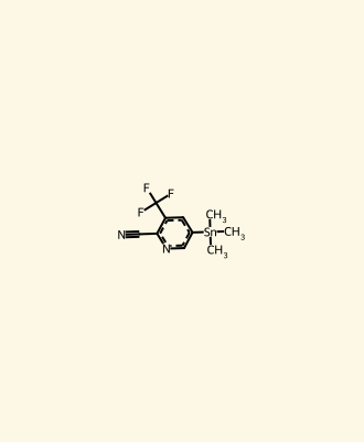 [CH3][Sn]([CH3])([CH3])[c]1cnc(C#N)c(C(F)(F)F)c1